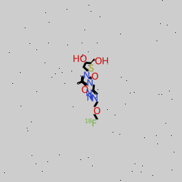 Cc1cn(C2CC(O)[C@@H](CO)S2)c(=O)n(Cc2cn(CCOCC[18F])nn2)c1=O